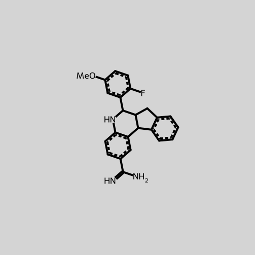 COc1ccc(F)c(C2Nc3ccc(C(=N)N)cc3C3c4ccccc4CC23)c1